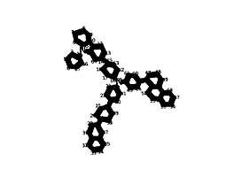 c1ccc(-n2c3ccccc3c3ccc(-c4ccc(N(c5ccc(-c6ccc(-c7ccc8ccccc8c7)cc6)cc5)c5ccc(-c6cccc7c6ccc6ccccc67)cc5)cc4)cc32)cc1